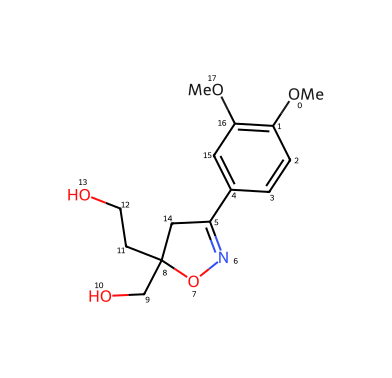 COc1ccc(C2=NOC(CO)(CCO)C2)cc1OC